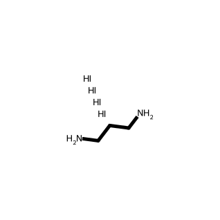 I.I.I.I.NCCCN